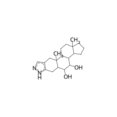 CC12CCCC1C1C(O)C(O)C3Cc4[nH]ncc4CC3(C)C1CC2